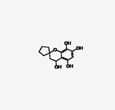 Oc1cc(O)c2c(c1O)OC1(CCCC1)CC2O